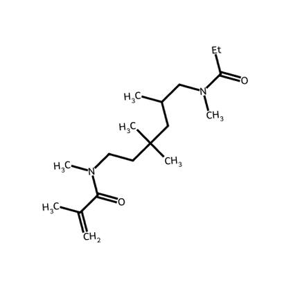 C=C(C)C(=O)N(C)CCC(C)(C)CC(C)CN(C)C(=O)CC